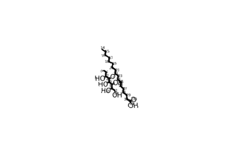 CC=C(O)C(=O)C(O)C(O)C(O)CO.CCCCCCCCCCCCCCCCCC(=O)O